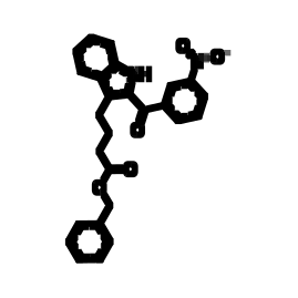 O=C(CCCc1c(C(=O)c2cccc([N+](=O)[O-])c2)[nH]c2ccccc12)OCc1ccccc1